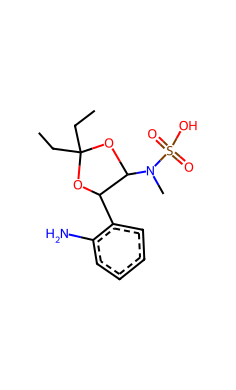 CCC1(CC)OC(c2ccccc2N)C(N(C)S(=O)(=O)O)O1